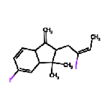 C=C1C2C=CC(I)=CC2C(C)(C)C1C/C(I)=C\C